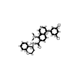 CN(C)c1c(C(=O)N[C@H]2CCOc3ccccc32)ccc2c(-c3cc(Cl)cc(Cl)c3)cncc12